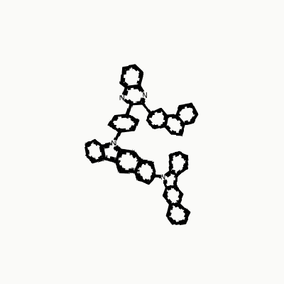 c1ccc2cc3c(cc2c1)c1ccccc1n3-c1ccc2cc3c4ccccc4n(-c4ccc(-c5nc6ccccc6nc5-c5ccc6ccc7ccccc7c6c5)cc4)c3cc2c1